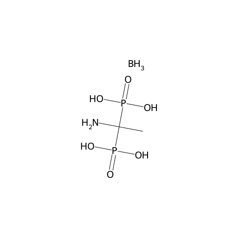 B.CC(N)(P(=O)(O)O)P(=O)(O)O